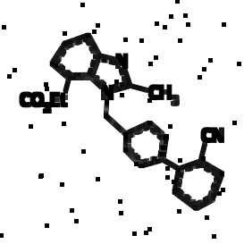 CCOC(=O)c1cccc2nc(C)n(Cc3ccc(-c4ccccc4C#N)cc3)c12